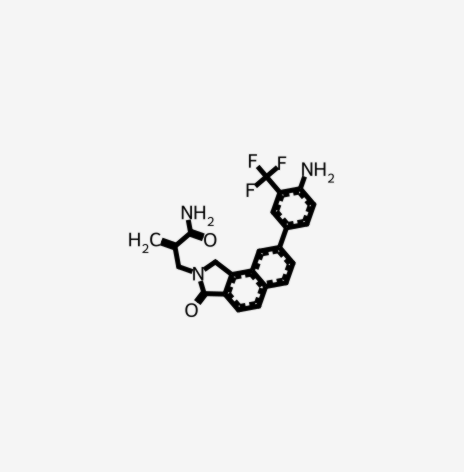 C=C(CN1Cc2c(ccc3ccc(-c4ccc(N)c(C(F)(F)F)c4)cc23)C1=O)C(N)=O